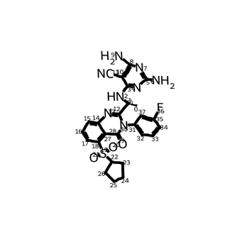 C[C@H](Nc1nc(N)nc(N)c1C#N)c1nc2cccc(S(=O)(=O)C3CCCC3)c2c(=O)n1-c1cccc(F)c1